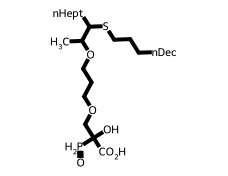 CCCCCCCCCCCCCSC(CCCCCCC)C(C)OCCCOCC(O)([PH2]=O)C(=O)O